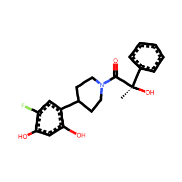 C[C@](O)(C(=O)N1CCC(c2cc(F)c(O)cc2O)CC1)c1ccccc1